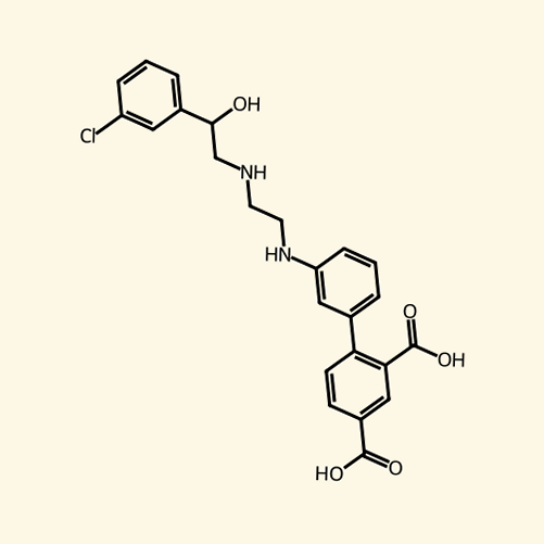 O=C(O)c1ccc(-c2cccc(NCCNCC(O)c3cccc(Cl)c3)c2)c(C(=O)O)c1